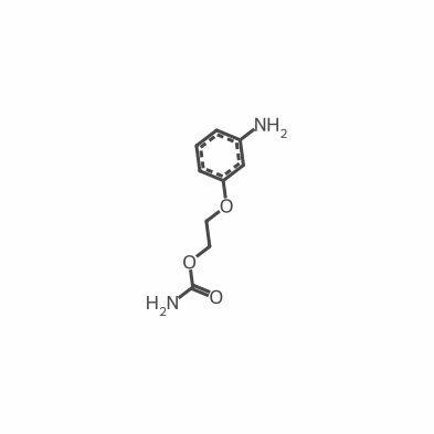 NC(=O)OCCOc1cccc(N)c1